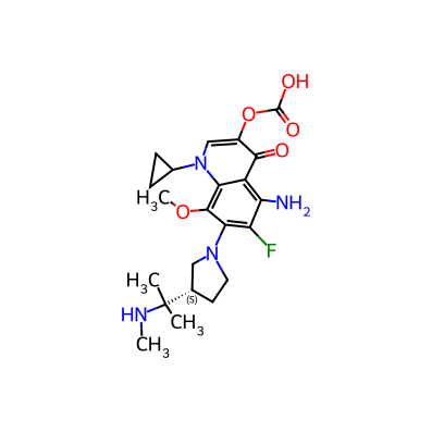 CNC(C)(C)[C@H]1CCN(c2c(F)c(N)c3c(=O)c(OC(=O)O)cn(C4CC4)c3c2OC)C1